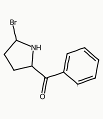 O=C(c1[c]cccc1)C1CCC(Br)N1